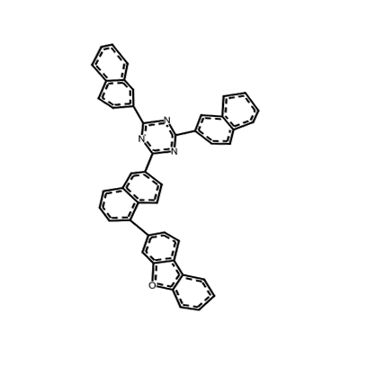 c1ccc2cc(-c3nc(-c4ccc5ccccc5c4)nc(-c4ccc5c(-c6ccc7c(c6)oc6ccccc67)cccc5c4)n3)ccc2c1